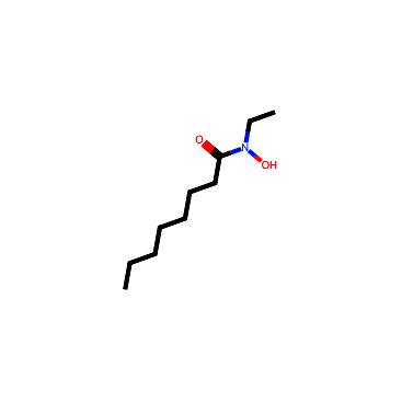 CCCCCCCC(=O)N(O)CC